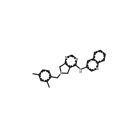 Cc1ccc(CN2Cc3ncnc(Nc4cnc5ccccc5c4)c3C2)c(C)c1